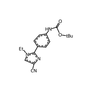 CCn1cc(C#N)nc1-c1ccc(NC(=O)OC(C)(C)C)cc1